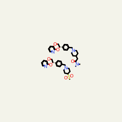 CN(C)C(=O)CC1CCN(Cc2ccc([C@H]3COc4cccnc4O3)cc2)CC1.CS(=O)(=O)C1CCN(Cc2ccc([C@H]3COc4cccnc4O3)cc2)CC1